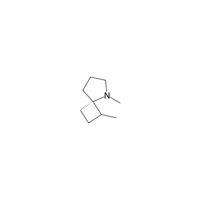 CC1CC[C@@]12CCCN2C